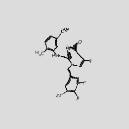 CCc1cc(Cn2cc(F)c(=O)nc2Nc2cc(OC)ccc2C)cc(F)c1F